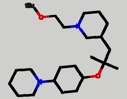 CC(C)(C)OCCN1CCCC(CC(C)(C)OC2CCC(N3CCCCC3)CC2)C1